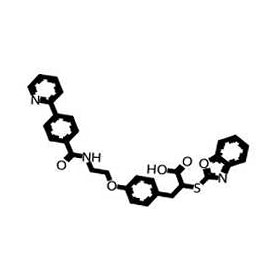 O=C(NCCOc1ccc(CC(Sc2nc3ccccc3o2)C(=O)O)cc1)c1ccc(-c2ccccn2)cc1